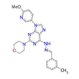 COc1ccc(-n2cnc3c(NN=Cc4cccc(C)c4)nc(N4CCOCC4)nc32)cn1